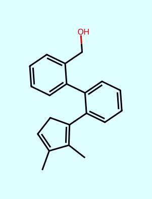 CC1=CCC(c2ccccc2-c2ccccc2CO)=C1C